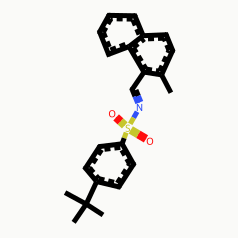 Cc1ccc2ccccc2c1/C=N/S(=O)(=O)c1ccc(C(C)(C)C)cc1